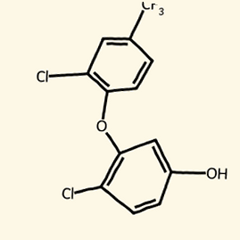 Oc1ccc(Cl)c(Oc2ccc(C(F)(F)F)cc2Cl)c1